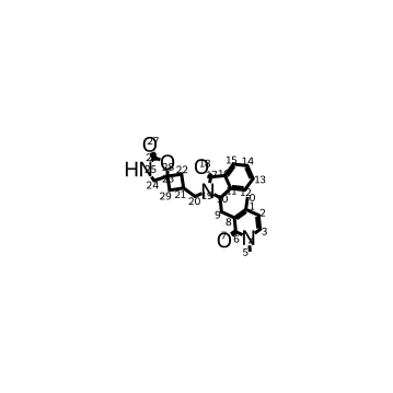 Cc1ccn(C)c(=O)c1CC1c2ccccc2C(=O)N1CC1CC2(CNC(=O)O2)C1